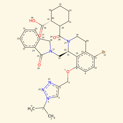 CC(C)n1cc(COc2ccc(Br)c3c2[C@@H](CN2Cc4ccccc4C2=O)N(C(=O)C2CCCC[C@H]2C(=O)O)CC3)nn1